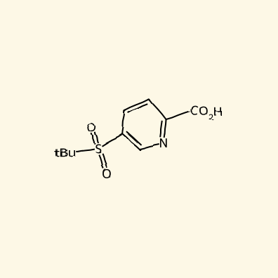 CC(C)(C)S(=O)(=O)c1ccc(C(=O)O)nc1